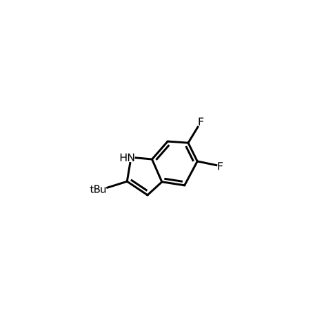 CC(C)(C)c1cc2cc(F)c(F)cc2[nH]1